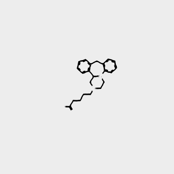 O=C(O)CCCCN1CCN2c3ccccc3Cc3ccccc3C2C1